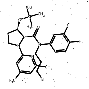 Cc1cc(C(F)(F)F)cc(N2CC[C@@H](O[Si](C)(C)C(C)(C)C)[C@H]2C(=O)N(CCCBr)c2ccc(F)c(Cl)c2)n1